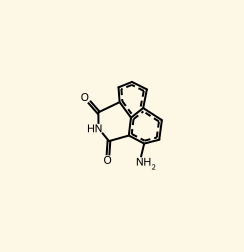 Nc1ccc2cccc3c2c1C(=O)NC3=O